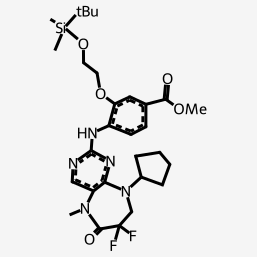 COC(=O)c1ccc(Nc2ncc3c(n2)N(C2CCCC2)CC(F)(F)C(=O)N3C)c(OCCO[Si](C)(C)C(C)(C)C)c1